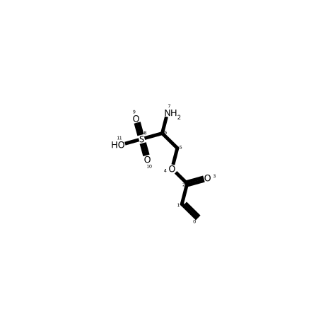 C=CC(=O)OCC(N)S(=O)(=O)O